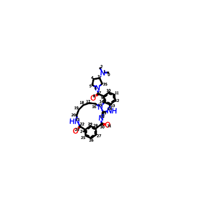 CN(C)[C@H]1CCN(C(=O)c2cccc3c2N2CCCCCNC(=O)c4cccc(c4)C(=O)/N=C/2N3)C1